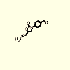 COCC1CN(c2ccc(C=O)cc2)C(=O)O1